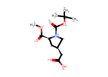 COC(=O)[C@@H]1C[C@H](CC(=O)O)CN1C(=O)OC(C)(C)C